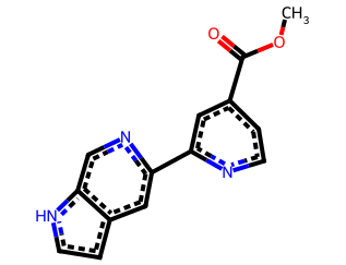 COC(=O)c1ccnc(-c2cc3cc[nH]c3cn2)c1